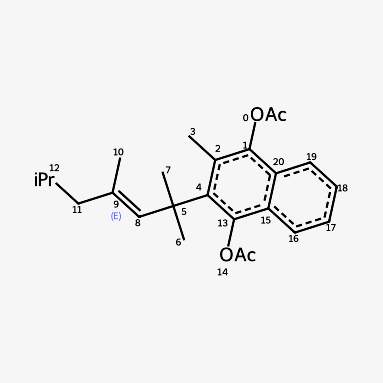 CC(=O)Oc1c(C)c(C(C)(C)/C=C(\C)CC(C)C)c(OC(C)=O)c2ccccc12